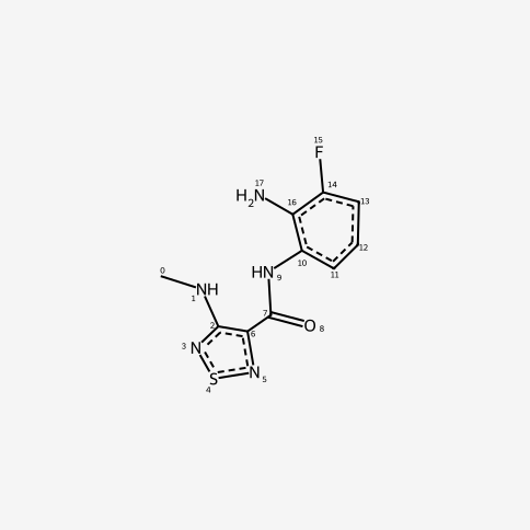 CNc1nsnc1C(=O)Nc1cccc(F)c1N